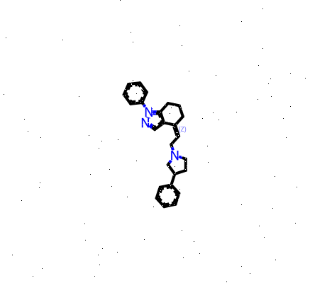 C(/CN1CCC(c2ccccc2)C1)=C1\CCCc2c1cnn2-c1ccccc1